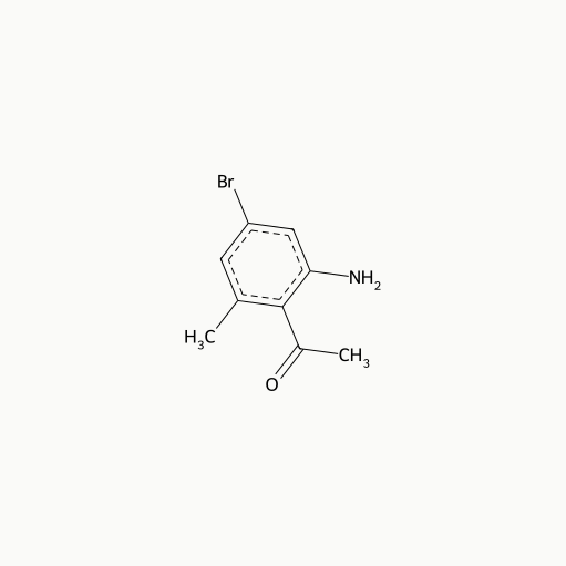 CC(=O)c1c(C)cc(Br)cc1N